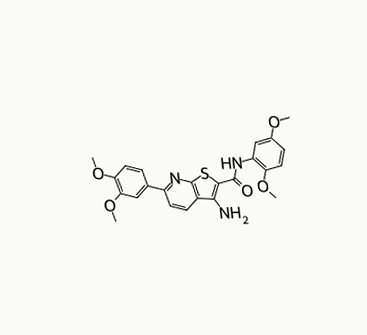 COc1ccc(OC)c(NC(=O)c2sc3nc(-c4ccc(OC)c(OC)c4)ccc3c2N)c1